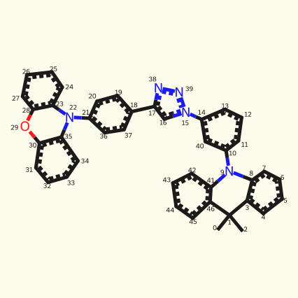 CC1(C)c2ccccc2N(c2cccc(-n3cc(-c4ccc(N5c6ccccc6Oc6ccccc65)cc4)nn3)c2)c2ccccc21